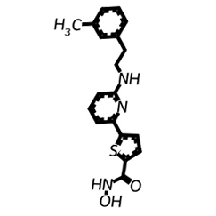 Cc1cccc(CCNc2cccc(-c3ccc(C(=O)NO)s3)n2)c1